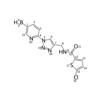 Bc1ccc(-n2cc(CNC(=O)c3ccc(Cl)s3)nn2)nc1